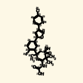 CC1(C)C(NC(=O)O)=N[C@](C)(c2cc(-c3cc(-c4ncc(Cl)cn4)no3)ccc2F)C[S@]1(=N)=O